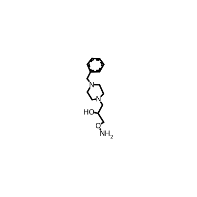 NOCC(O)CN1CCN(Cc2ccccc2)CC1